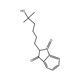 CC(C)(O)CCCCC1C(=O)c2ccccc2[N+]1=O